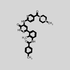 Cc1ccc(C(=O)Nc2cccc(-c3cc(Nc4ccc(C(=O)N5CCN(C)CC5)cn4)c(=O)[nH]n3)c2C)cc1